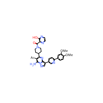 COc1ccc(-c2ccc(-c3cnn4c(N)c(C(C)=O)c(C5CCN(C(=O)c6nccnc6O)CC5)nc34)cn2)cc1OC